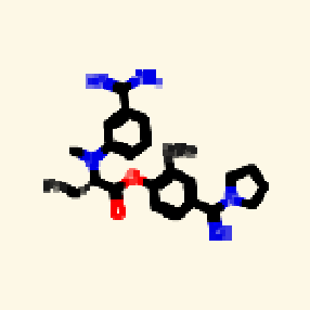 COc1cc(C(=N)N2CCCC2)ccc1OC(=O)[C@H](CC(C)C)N(C)c1cccc(C(=N)N)c1